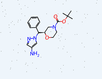 CC(C)(C)OC(=O)N1CCO[C@@H](C(c2ccccc2)n2cc(N)cn2)C1